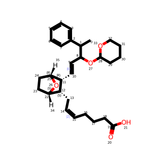 CC(c1ccccc1)C(/C=C/[C@@H]1[C@H](C/C=C\CCCC(=O)O)[C@@H]2CC[C@H]1O2)OC1CCCCO1